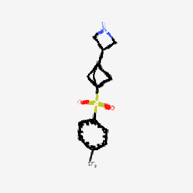 O=S(=O)(c1ccc(C(F)(F)F)cc1)C12CC(C3CNC3)(C1)C2